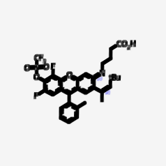 C/C(=C/C(C)(C)C)c1cc2c(-c3ccccc3C)c3cc(F)c(OS(=O)(=O)C(F)(F)F)c(F)c3oc-2c/c1=N\CCCC(=O)O